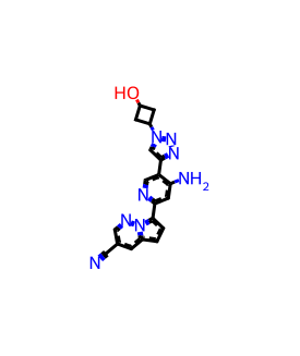 N#Cc1cnn2c(-c3cc(N)c(-c4cn(C5CC(O)C5)nn4)cn3)ccc2c1